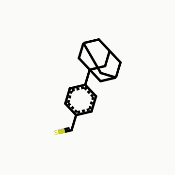 S=Cc1ccc(C23CC4CC(CC(C4)C2)C3)cc1